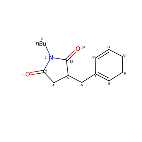 CCCCN1C(=O)CC(CC2=CC[CH]C=[C]2)C1=O